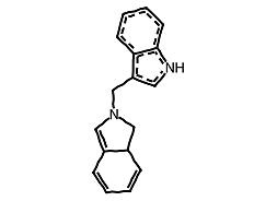 C1=CC2=CN(Cc3c[nH]c4ccccc34)CC2C=C1